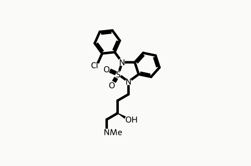 CNC[C@H](O)CCN1c2ccccc2N(c2ccccc2Cl)S1(=O)=O